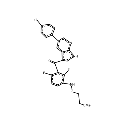 COCCSNc1ccc(F)c(C(=O)c2c[nH]c3ncc(-c4ccc(Cl)cc4)cc23)c1F